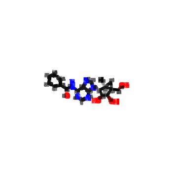 O=C(Nc1ncnc2c1ncn2[C@H]1[C@H](O)[C@H](O)[C@@]2(CO)C[C@H]12)c1ccccc1